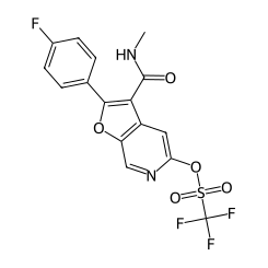 CNC(=O)c1c(-c2ccc(F)cc2)oc2cnc(OS(=O)(=O)C(F)(F)F)cc12